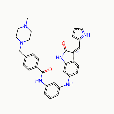 CN1CCN(Cc2ccc(C(=O)Nc3cccc(Nc4ccc5c(c4)NC(=O)/C5=C\c4ccc[nH]4)c3)cc2)CC1